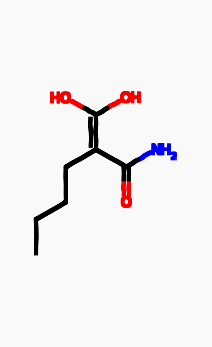 CCCCC(C(N)=O)=C(O)O